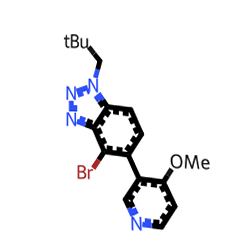 COc1ccncc1-c1ccc2c(nnn2CC(C)(C)C)c1Br